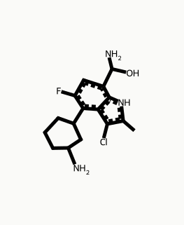 Cc1[nH]c2c(C(N)O)cc(F)c(C3CCCC(N)C3)c2c1Cl